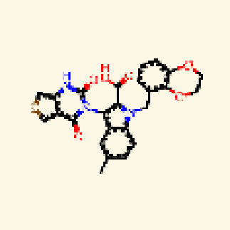 Cc1ccc2c(c1)c(-n1c(=O)[nH]c3cscc3c1=O)c(C(=O)O)n2Cc1cccc2c1OCCO2